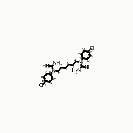 N=C(N)N(CCCCCCN(C(=N)N)c1ccc(Cl)cc1)c1ccc(Cl)cc1